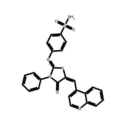 NS(=O)(=O)c1ccc(/N=C2\SC(=Cc3ccnc4ccccc34)C(=O)N2c2ccccc2)cc1